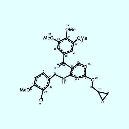 COc1ccc(CNc2nc(OCC3CC3)ncc2C(=O)c2cc(OC)c(OC)c(OC)c2)cc1Cl